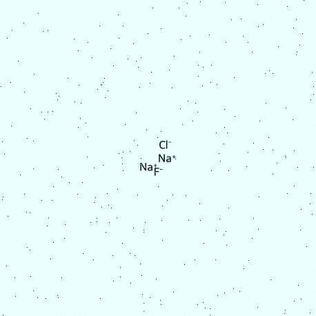 [Cl-].[F-].[Na+].[Na+]